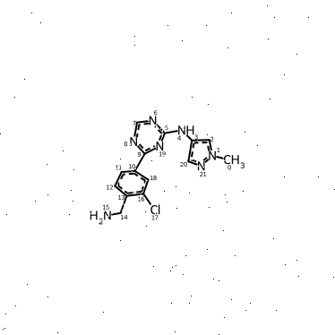 Cn1cc(Nc2ncnc(-c3ccc(CN)c(Cl)c3)n2)cn1